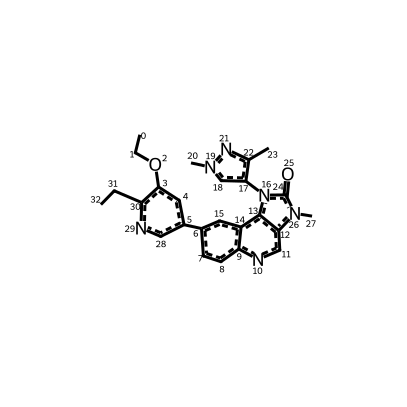 CCOc1cc(-c2ccc3ncc4c(c3c2)n(-c2cn(C)nc2C)c(=O)n4C)cnc1CC